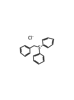 [Cl-].c1ccc(C[S+](c2ccccc2)c2ccccc2)cc1